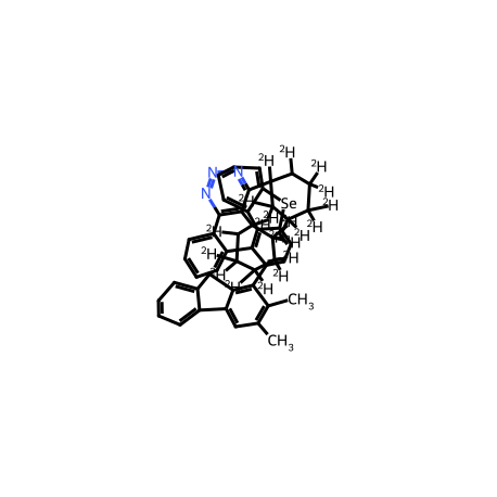 [2H]C1C([2H])([2H])C([2H])([2H])C([2H])([2H])C([2H])([2H])C1([2H])c1nnnc(-c2ccccc2-c2c(-c3c(C)c(C)cc4c3Cc3ccccc3-4)ccc3[se]c4ccccc4c23)c1C1([2H])C([2H])C([2H])([2H])C([2H])([2H])C([2H])([2H])C1([2H])[2H]